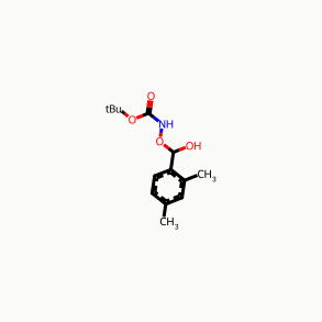 Cc1ccc(C(O)ONC(=O)OC(C)(C)C)c(C)c1